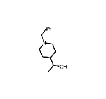 CC(C)CN1CCC(C(C)O)CC1